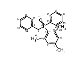 Cc1cc(C)c(P(=O)(Cc2ccccc2)c2ccccc2)c(C)c1